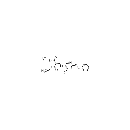 CCOC(=O)C(=CNc1cnc(OCc2ccccc2)cc1Cl)C(=O)OCC